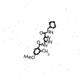 COc1ccc(C(=O)Nc2cc(C(=O)NCc3ccccc3)n[nH]2)c(C)c1